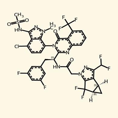 Cn1nc(NS(C)(=O)=O)c2c(Cl)ccc(-n3c([C@H](Cc4cc(F)cc(F)c4)NC(=O)Cn4nc(C(F)F)c5c4C(F)(F)[C@@H]4C[C@H]54)nc4cccc(C(F)(F)F)c4c3=O)c21